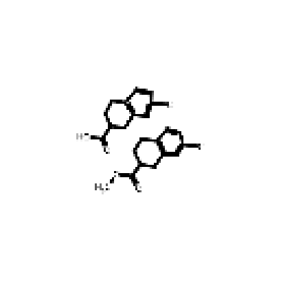 COC(=O)C1CCc2ccc(Cl)cc2C1.O=C(O)C1CCc2ccc(Cl)cc2C1